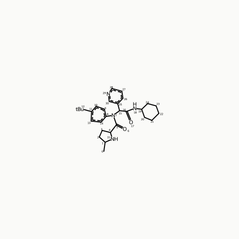 CC1CCC(C(=O)N(c2ccc(C(C)(C)C)cc2)C(C(=O)NC2CCCCC2)c2cccnc2)N1